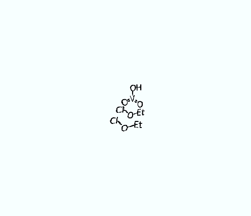 CCOCl.CCOCl.[O]=[V](=[O])[OH]